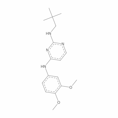 COc1ccc(Nc2ccnc(NCC(C)(C)C)n2)cc1OC